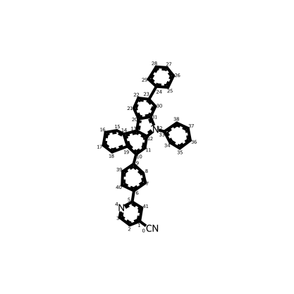 N#Cc1ccnc(-c2ccc(-c3cc4c(c5ccccc35)c3ccc(-c5ccccc5)cc3n4-c3ccccc3)cc2)c1